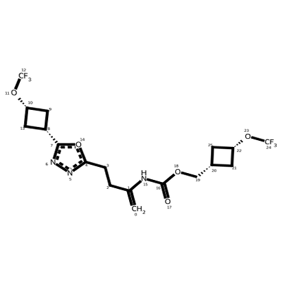 C=C(CCc1nnc([C@H]2C[C@@H](OC(F)(F)F)C2)o1)NC(=O)OC[C@H]1C[C@@H](OC(F)(F)F)C1